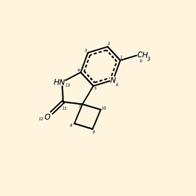 Cc1ccc2c(n1)C1(CCC1)C(=O)N2